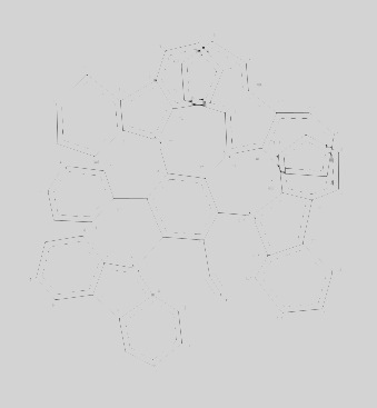 N#Cc1c(-n2c3ccccc3c3ccccc32)c(-c2cccnc2)c(-n2c3ccccc3c3ccccc32)c(-n2c3ccccc3c3ccccc32)c1-n1c2ccccc2c2ccccc21